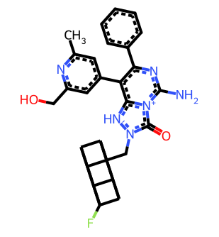 Cc1cc(-c2c(-c3ccccc3)nc(N)[n+]3c(=O)n(CC45C6C7C4C4C5C6C74F)[nH]c23)cc(CO)n1